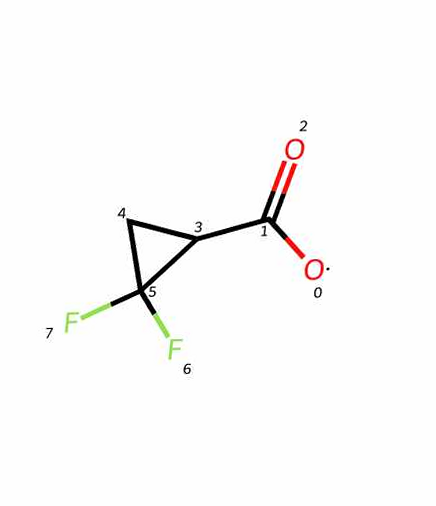 [O]C(=O)C1CC1(F)F